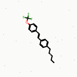 CCCCCc1ccc(/C=C/c2ccc(OC(F)(F)F)cc2)cc1